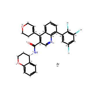 O=C(N[C@H]1CCOc2ccccc21)c1cnc2c(-c3cc(F)cc(F)c3F)cccc2c1C1=CCOCC1.[Ar]